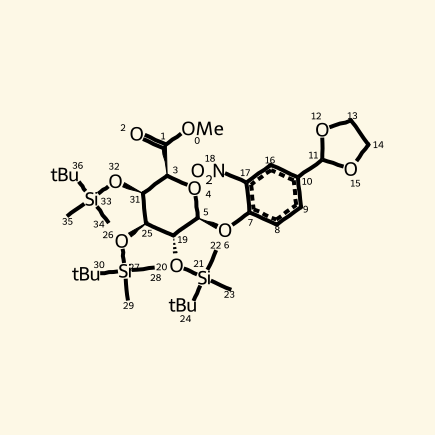 COC(=O)[C@H]1O[C@@H](Oc2ccc(C3OCCO3)cc2[N+](=O)[O-])[C@H](O[Si](C)(C)C(C)(C)C)[C@@H](O[Si](C)(C)C(C)(C)C)[C@H]1O[Si](C)(C)C(C)(C)C